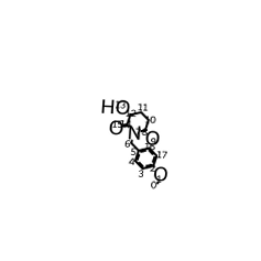 COc1ccc(CN2C(=O)CC[C@@H](O)C2=O)cc1